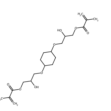 C=C(C)C(=O)OCC(O)COC1CCC(OCC(O)COC(=O)C(=C)C)CC1